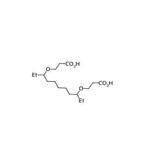 CCC(CCCCCC(CC)OCCC(=O)O)OCCC(=O)O